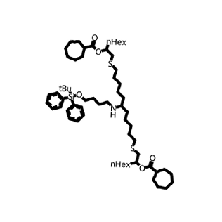 CCCCCCC(CSCCCCCC(CCCCCSCC(CCCCCC)OC(=O)C1CCCCCC1)NCCCCO[Si](c1ccccc1)(c1ccccc1)C(C)(C)C)OC(=O)C1CCCCCC1